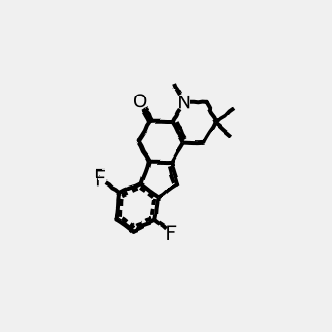 CN1CC(C)(C)CC2=C1C(=O)CC1C2=Cc2c(F)ccc(F)c21